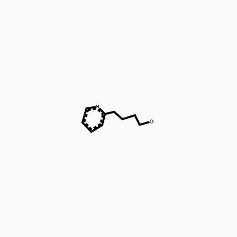 [O]CCCCc1ccccn1